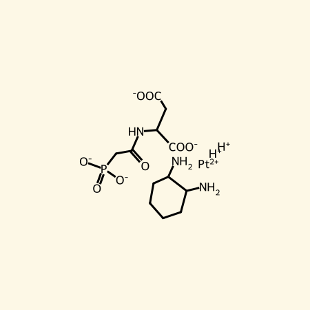 NC1CCCCC1N.O=C([O-])CC(NC(=O)CP(=O)([O-])[O-])C(=O)[O-].[H+].[H+].[Pt+2]